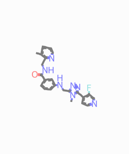 Cc1cccnc1CNC(=O)c1cccc(NCc2nnc(-c3ccncc3F)n2C)c1